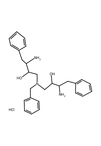 Cl.NC(Cc1ccccc1)C(O)CN(Cc1ccccc1)CC(O)C(N)Cc1ccccc1